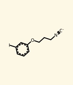 [C-]#[N+]CCCOc1cccc(I)c1